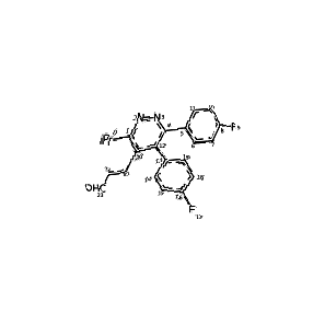 CC(C)c1nnc(-c2ccc(F)cc2)c(-c2ccc(F)cc2)c1/C=C/C=O